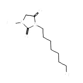 CCCCCCCCN1C(=O)CN(C)C1=O